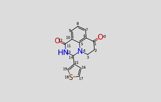 O=C1CCN2c3c1cccc3C(=O)NC2c1ccsc1